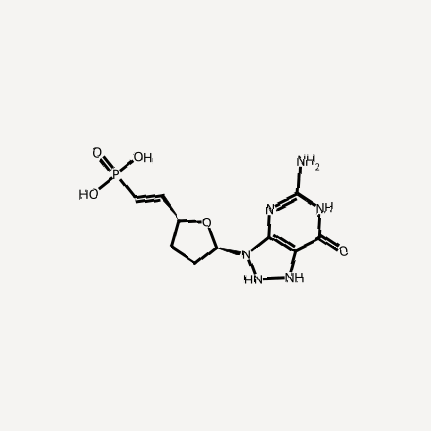 Nc1nc2c(c(=O)[nH]1)NNN2[C@H]1CC[C@@H](/C=C/P(=O)(O)O)O1